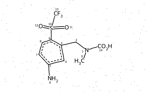 CN(Cc1cc(N)ccc1S(=O)(=O)C(F)(F)F)C(=O)O